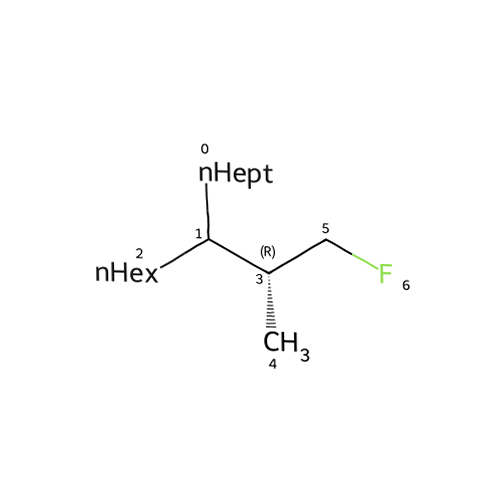 CCCCCCCC(CCCCCC)[C@@H](C)CF